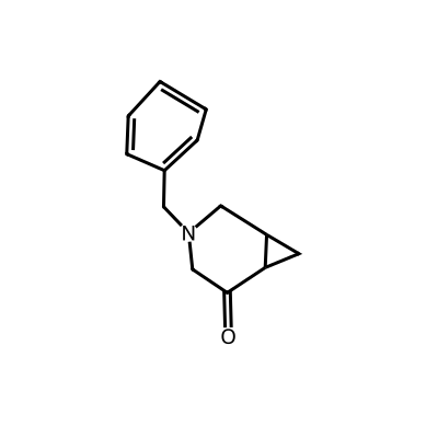 O=C1CN(Cc2ccccc2)CC2CC12